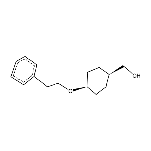 OC[C@H]1CC[C@@H](OCCc2ccccc2)CC1